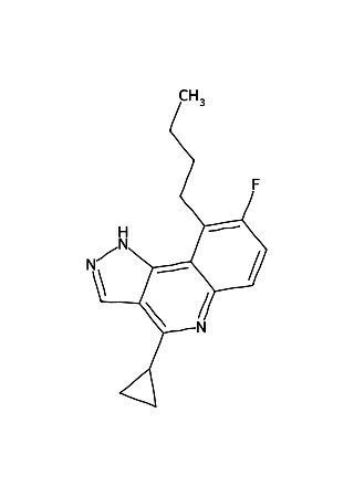 CCCCc1c(F)ccc2nc(C3CC3)c3cn[nH]c3c12